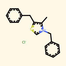 Cc1c(Cc2ccccc2)sc[n+]1Cc1ccccc1.[Cl-]